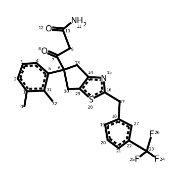 Cc1cccc(C2(C(=O)CC(N)=O)Cc3nc(Cc4cccc(C(F)(F)F)c4)sc3C2)c1C